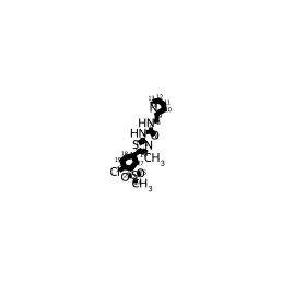 Cc1nc(NC(=O)NCc2ccccn2)sc1-c1ccc(Cl)c(S(C)(=O)=O)c1